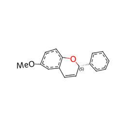 COc1ccc2c(c1)C=C[C@@H](c1ccccc1)O2